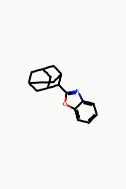 c1ccc2oc(C3C4CC5CC(C4)CC3C5)nc2c1